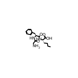 CCCC[C@H](NC(=O)[C@H](Cc1ccccc1)NC(=O)CN)C(=O)O